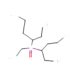 [CH2]CP(=O)(C(CC)CCC)C(CC)CCC